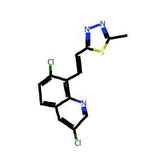 Cc1nnc(C=Cc2c(Cl)ccc3cc(Cl)cnc23)s1